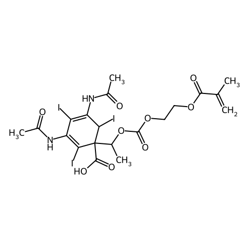 C=C(C)C(=O)OCCOC(=O)OC(C)C1(C(=O)O)C(I)=C(NC(C)=O)C(I)=C(NC(C)=O)C1I